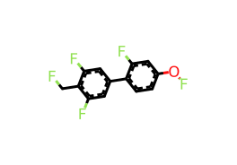 FCc1c(F)cc(-c2ccc(OF)cc2F)cc1F